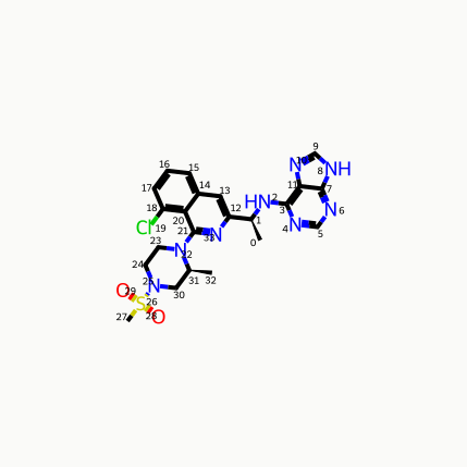 C[C@H](Nc1ncnc2[nH]cnc12)c1cc2cccc(Cl)c2c(N2CCN(S(C)(=O)=O)C[C@@H]2C)n1